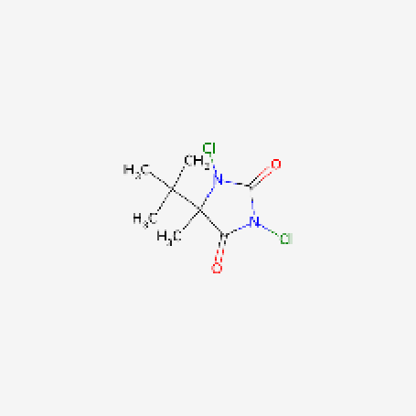 CC(C)(C)C1(C)C(=O)N(Cl)C(=O)N1Cl